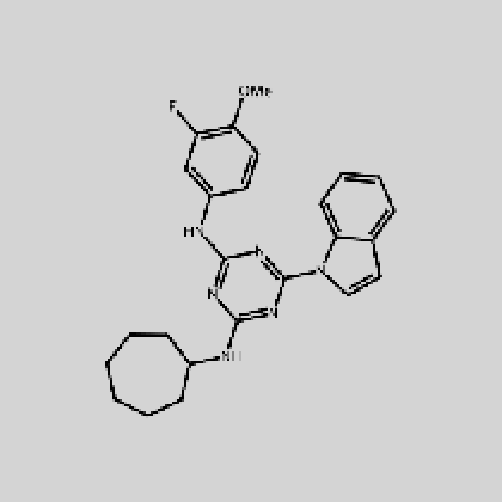 COc1ccc(Nc2nc(NC3CCCCCC3)nc(-n3ccc4ccccc43)n2)cc1F